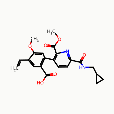 C=Cc1cc(C(=O)O)c(-c2ccc(C(=O)NCC3CC3)nc2C(=O)OC)cc1OC